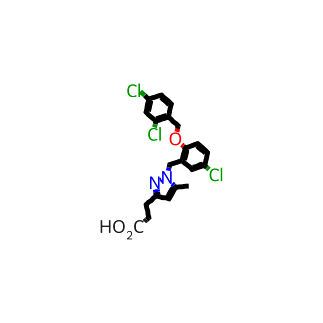 Cc1cc(CCC(=O)O)nn1Cc1cc(Cl)ccc1OCc1ccc(Cl)cc1Cl